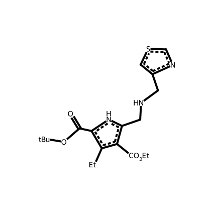 CCOC(=O)c1c(CNCc2cscn2)[nH]c(C(=O)OC(C)(C)C)c1CC